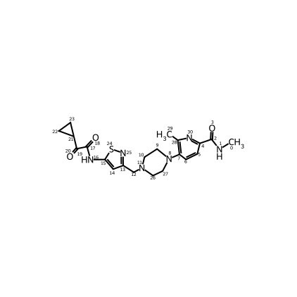 CNC(=O)c1ccc(N2CCN(Cc3cc(NC(=O)C(=O)C4CC4)sn3)CC2)c(C)n1